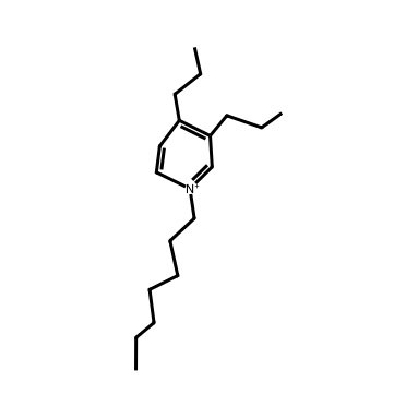 CCCCCCC[n+]1ccc(CCC)c(CCC)c1